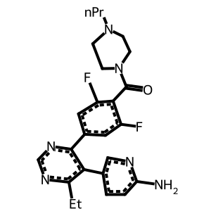 CCCN1CCN(C(=O)c2c(F)cc(-c3ncnc(CC)c3-c3ccc(N)nc3)cc2F)CC1